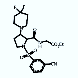 CCOC(=O)CNC(=O)C1C(N2CCC(F)(F)CC2)CCN1S(=O)(=O)c1cccc(C#N)c1